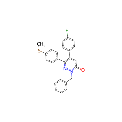 CSc1ccc(-c2nn(Cc3ccccc3)c(=O)cc2-c2ccc(F)cc2)cc1